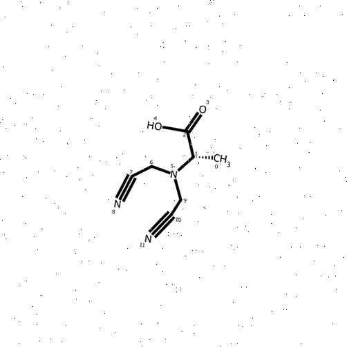 C[C@@H](C(=O)O)N(CC#N)CC#N